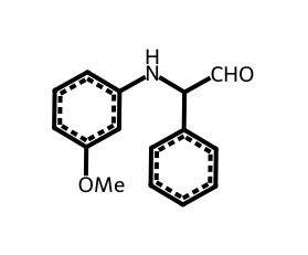 COc1cccc(NC(C=O)c2ccccc2)c1